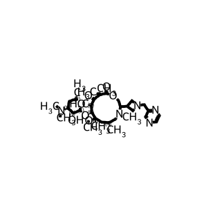 CO[C@]1(C)C[C@@H](C)CN(C)C(C2CN(Cc3cnccn3)C2)COC(=O)C(C)(C)C(=O)[C@H](C)[C@H]1O[C@@H]1O[C@H](C)C[C@H](N(C)C)[C@H]1O